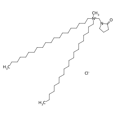 CCCCCCCCCCCCCCCCCCCC[N+](C)(CCCCCCCCCCCCCCCCCCCC)CN1CCCC1=O.[Cl-]